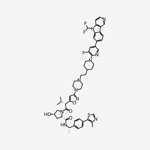 Cc1ncsc1-c1ccc([C@H](C)NC(=O)[C@@H]2C[C@@H](O)CN2C(=O)[C@@H](c2cc(N3CCN(CCC4CCN(c5ncc(-c6ccc7c8cnccc8n(C(F)F)c7c6)cc5F)CC4)CC3)no2)C(C)C)cc1